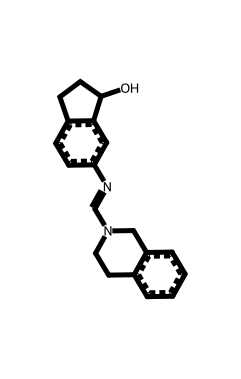 OC1CCc2ccc(N=CN3CCc4ccccc4C3)cc21